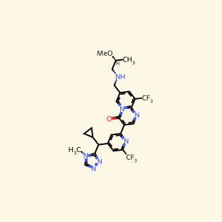 CO[C@@H](C)CNCc1cc(C(F)(F)F)c2ncc(-c3cc(C(c4nncn4C)C4CC4)cc(C(F)(F)F)n3)c(=O)n2c1